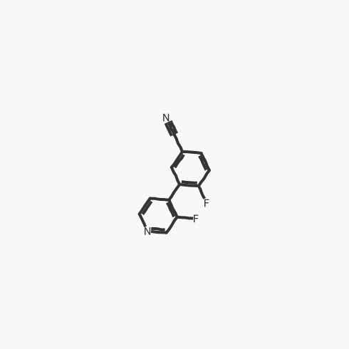 N#Cc1ccc(F)c(-c2ccncc2F)c1